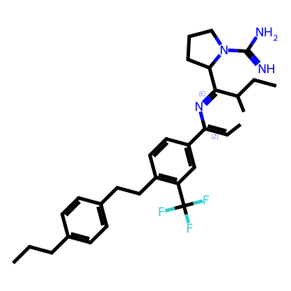 C/C=C(\N=C(/C(C)CC)C1CCCN1C(=N)N)c1ccc(CCc2ccc(CCC)cc2)c(C(F)(F)F)c1